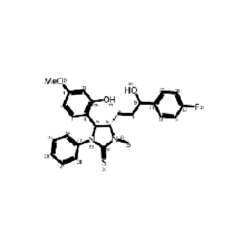 COc1ccc(C2[C@H](CCC(O)c3ccc(F)cc3)N(C)C(=S)N2c2ccccc2)c(O)c1